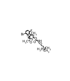 CC(=O)[C@]12C[C@H]1[C@@](C)(c1cc(Br)ccc1F)N=C(OC(=O)NCOCC[Si](C)(C)C)S2